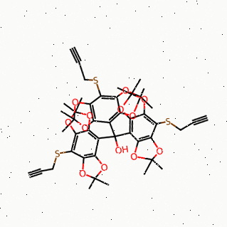 C#CCSc1c2c(c(C(O)(c3c4c(c(SCC#C)c5c3OC(C)(C)O5)OC(C)(C)O4)c3c4c(c(SCC#C)c5c3OC(C)(C)O5)OC(C)(C)O4)c3c1OC(C)(C)O3)OC(C)(C)O2